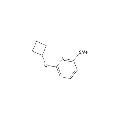 CSc1cccc(OC2CCC2)n1